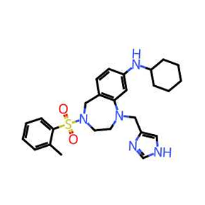 Cc1ccccc1S(=O)(=O)N1CCN(Cc2c[nH]cn2)c2cc(NC3CCCCC3)ccc2C1